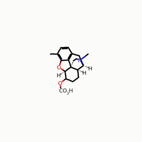 Cc1ccc2c3c1O[C@@H]1C(OC(=O)O)CC[C@@H]4[C@H](C2)N(C)CC[C@@]314